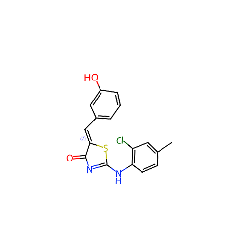 Cc1ccc(NC2=NC(=O)/C(=C/c3cccc(O)c3)S2)c(Cl)c1